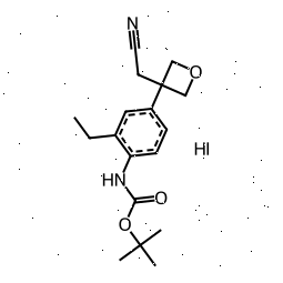 CCc1cc(C2(CC#N)COC2)ccc1NC(=O)OC(C)(C)C.I